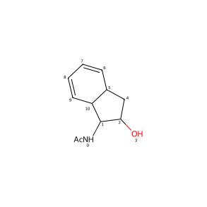 CC(=O)NC1C(O)CC2C=CC=CC21